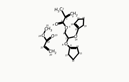 C=C(C)C(=O)OCC(OC1=CCCC1)OC1=CCCC1.C=CC(=O)OC